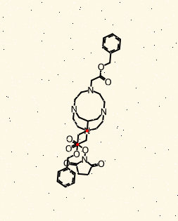 O=C(CN1CCN2CCN(CC(=O)OCc3ccccc3)CCN(CC1)CC(CCC(=O)ON1C(=O)CCC1=O)C2)OCc1ccccc1